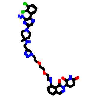 CC1(NCc2cn(CCOCCOCCNc3cccc4cnn(C5CCC(=O)NC5=O)c(=O)c34)nn2)CCN(c2cnc(-c3cccc(Cl)c3Cl)c(N)n2)CC1